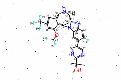 CC(C)(O)c1ncc(-c2cc3c(cc2F)nc2n3C3=c4c(OC(F)F)cc(C(F)(F)F)cc4=CN[C@@H]2C3)cn1